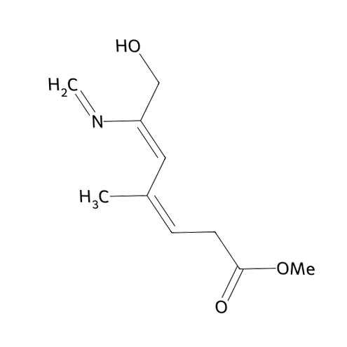 C=N/C(=C\C(C)=C/CC(=O)OC)CO